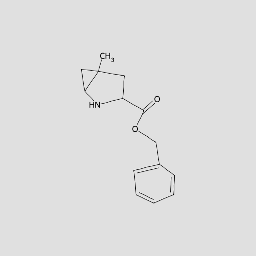 CC12CC(C(=O)OCc3ccccc3)NC1C2